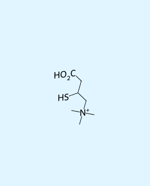 C[N+](C)(C)CC(S)CC(=O)O